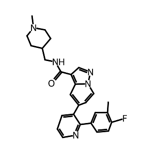 Cc1cc(-c2ncccc2-c2ccn3ncc(C(=O)NCC4CCN(C)CC4)c3c2)ccc1F